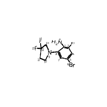 Nc1c(F)cc(Br)cc1N1CCC(F)(F)C1